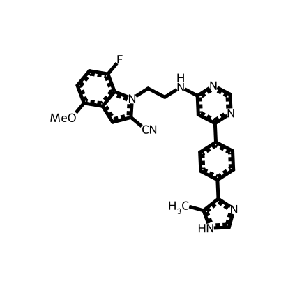 COc1ccc(F)c2c1cc(C#N)n2CCNc1cc(-c2ccc(-c3nc[nH]c3C)cc2)ncn1